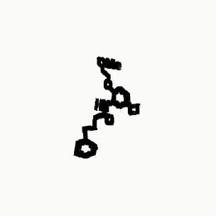 COCCOc1ccc(Cl)cc1NC(=O)CCCc1ccccc1